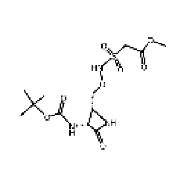 COC(=O)CS(=O)(=O)NOC[C@@H]1NC(=O)[C@@H]1NC(=O)OC(C)(C)C